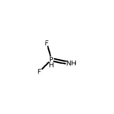 N=[PH](F)F